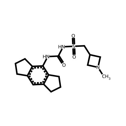 CN1CC(CS(=O)(=O)NC(=O)Nc2c3c(cc4c2CCC4)CCC3)C1